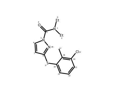 CCN(CC)C(=O)n1ccc(Sc2cccc(Cl)c2C)n1